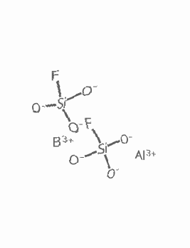 [Al+3].[B+3].[O-][Si]([O-])([O-])F.[O-][Si]([O-])([O-])F